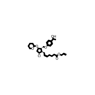 C=CCOC(=O)CCC/C=C\C[C@@H]1[C@@H](COc2ccc(C(C)O)cc2)[C@H](OC2CCCCO2)C[C@H]1Cl